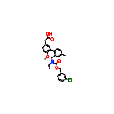 CCN(Cc1cc(C)ccc1-c1cc(CC(=O)O)ccc1OC)C(=O)OCc1cccc(Cl)c1